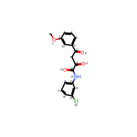 COc1cccc(C(=O)CC(=O)C(=O)Nc2cccc(Cl)c2)c1